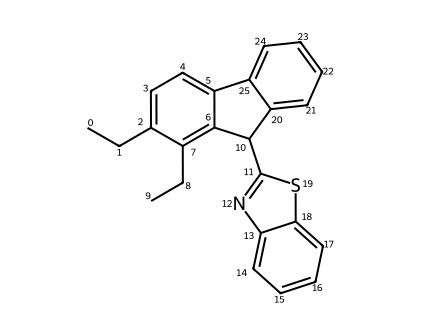 CCc1ccc2c(c1CC)C(c1nc3ccccc3s1)c1ccccc1-2